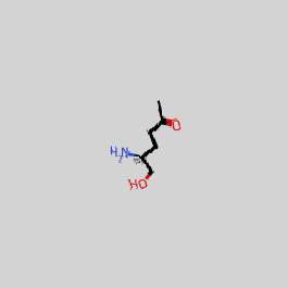 CC(=O)CC[C@H](N)CO